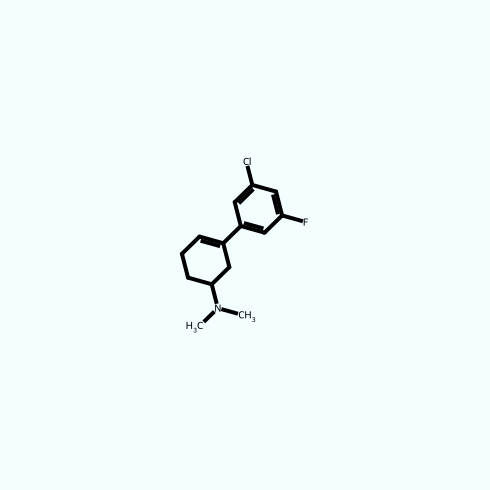 CN(C)C1CCC=C(c2cc(F)cc(Cl)c2)C1